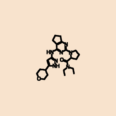 CCN(CC)C(=O)C1CCCN1c1nc2c(c(Nc3cc(C4CCOCC4)[nH]n3)n1)CCC2